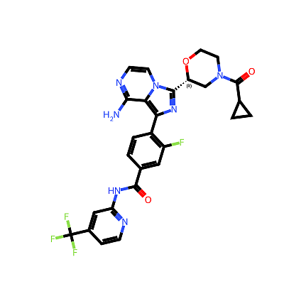 Nc1nccn2c([C@H]3CN(C(=O)C4CC4)CCO3)nc(-c3ccc(C(=O)Nc4cc(C(F)(F)F)ccn4)cc3F)c12